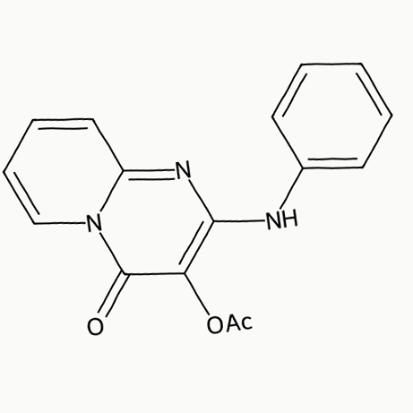 CC(=O)Oc1c(Nc2ccccc2)nc2ccccn2c1=O